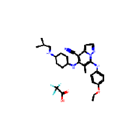 CCOc1ccc(Nc2c(C)c(NC3CCC(NCC(C)C)CC3)c(C#N)c3ccnn23)cc1.O=C(O)C(F)(F)F